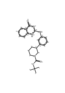 CC(C)(C)OC(=O)N1CCCC(c2cccc(Nc3nc(=O)c4ccccc4[nH]3)c2)C1